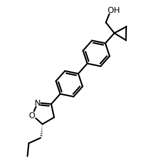 CCC[C@H]1CC(c2ccc(-c3ccc(C4(CO)CC4)cc3)cc2)=NO1